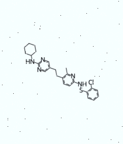 Cc1nc(NSc2ccccc2Cl)ccc1CCc1cnc(NC2CCCCC2)nc1